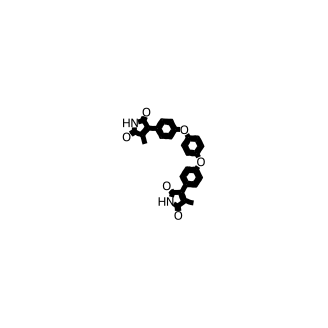 CC1=C(c2ccc(Oc3ccc(Oc4ccc(C5=C(C)C(=O)NC5=O)cc4)cc3)cc2)C(=O)NC1=O